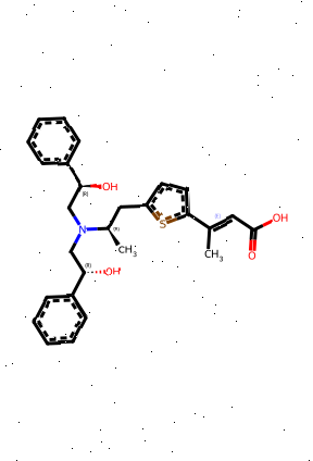 C/C(=C\C(=O)O)c1ccc(C[C@@H](C)N(C[C@H](O)c2ccccc2)C[C@H](O)c2ccccc2)s1